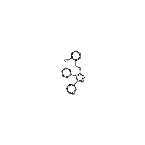 Clc1ccccc1CSc1nnc(-c2cccnc2)n1-c1ccccc1